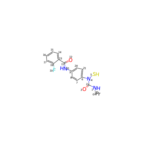 CC(C)NC(=O)N(S)c1ccc(NC(=O)c2ccccc2F)cc1